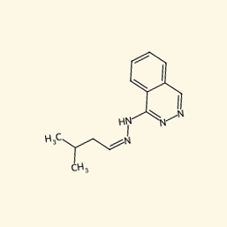 CC(C)C/C=N\Nc1nncc2ccccc12